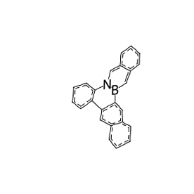 C1=c2ccccc2=CN2B1c1cc3ccccc3cc1-c1ccccc12